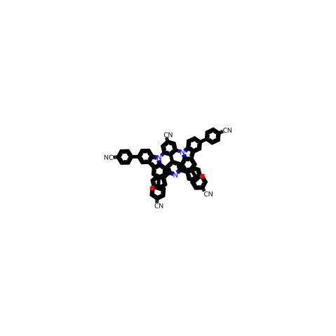 N#Cc1ccc(-c2ccc3c(c2)c2cc(-c4ccc(C#N)cc4)ccc2n3-c2cc(C#N)cc(-n3c4ccc(-c5ccc(C#N)cc5)cc4c4cc(-c5ccc(C#N)cc5)ccc43)c2-c2cc(-c3ccccc3)nc(-c3ccccc3)c2)cc1